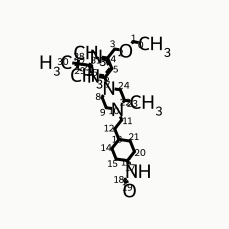 CCOCc1cc(N2CCN(CCC3CCC(NC=O)CC3)C(C)C2)nc(C(C)(C)C)n1